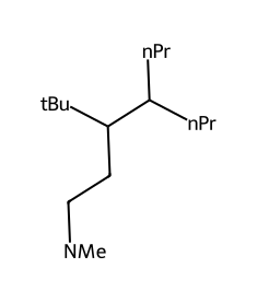 CCCC(CCC)C(CCNC)C(C)(C)C